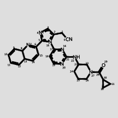 N#CCc1cnc(C2=NC3C=CC=CC3C=C2)n1-c1ccnc(NC2CCCN(C(=O)C3CC3)C2)n1